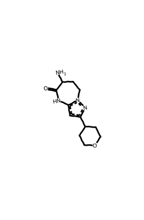 NC1CCn2nc(C3CCOCC3)cc2NC1=O